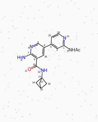 CC(=O)Nc1cc(-c2cnc(N)c(C(=O)NC34CC(C3)C4)c2)ccn1